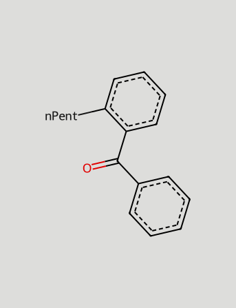 CCCCCc1ccccc1C(=O)c1ccccc1